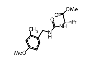 COC(=O)[C@@H](NC(=O)NCc1ccc(OC)cc1C)C(C)C